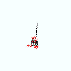 CCCCCCCCCCCCCC(=O)O[C@@H]1C(C)[C@@]2(O)[C@@H](C=C(CO)C[C@]3(O)C(=O)C(C)=C[C@@H]23)[C@@H]2C(C)(C)[C@]12OC(C)=O